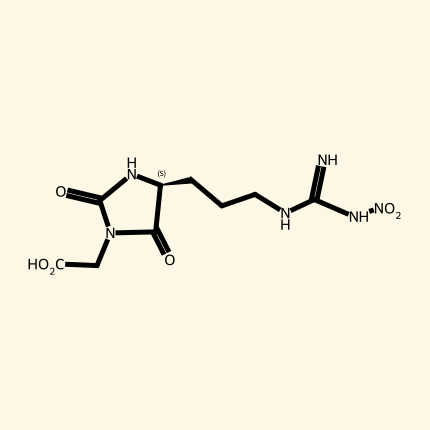 N=C(NCCC[C@@H]1NC(=O)N(CC(=O)O)C1=O)N[N+](=O)[O-]